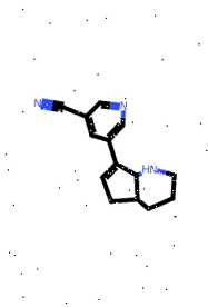 N#Cc1cncc(C2=CCC3CCCNC23)c1